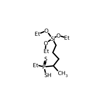 CCO[Si](CCCC(C)P(=S)(S)CC)(OCC)OCC